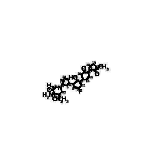 CC1CN(c2cc(-c3cc(F)cc(-c4ccc(-n5ccn(C)c5=O)c(Cl)c4)c3O)ccn2)CC(C)C1(C)N